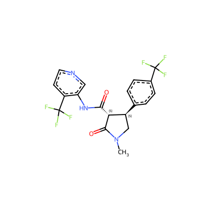 CN1C[C@H](c2ccc(C(F)(F)F)cc2)[C@@H](C(=O)Nc2cnccc2C(F)(F)F)C1=O